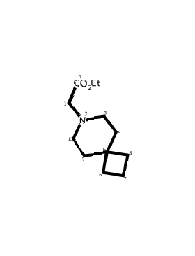 CCOC(=O)CN1CCC2(CCC2)CC1